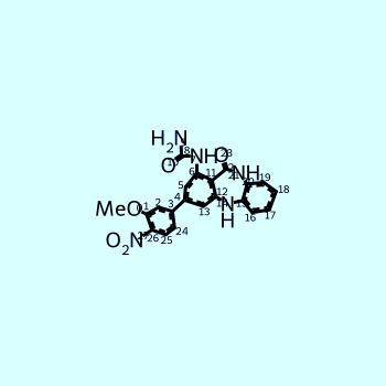 COc1cc(-c2cc(NC(N)=O)c3c(c2)Nc2ccccc2NC3=O)ccc1[N+](=O)[O-]